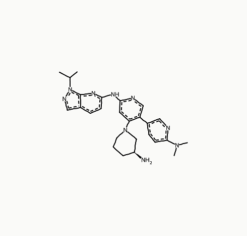 CC(C)n1ncc2ccc(Nc3cc(N4CCC[C@H](N)C4)c(-c4ccc(N(C)C)nc4)cn3)nc21